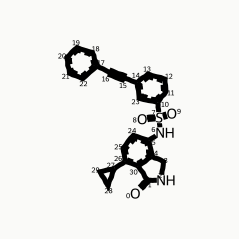 O=C1NCc2c(NS(=O)(=O)c3cccc(C#Cc4ccccc4)c3)ccc(C3CC3)c21